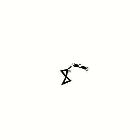 S=C=N[C@@H]1CC12CC2